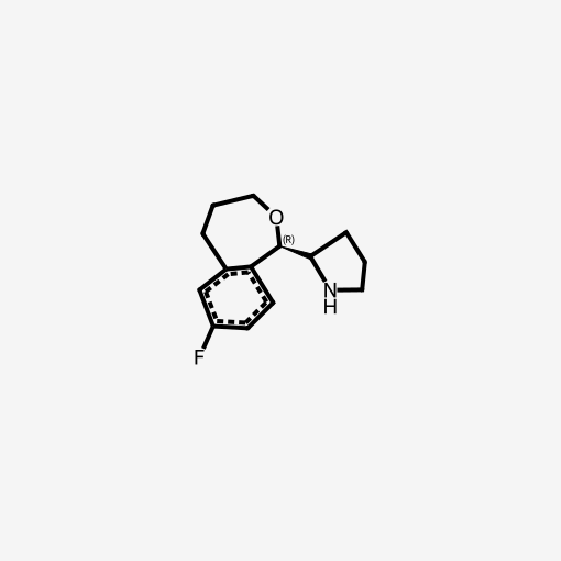 Fc1ccc2c(c1)CCCO[C@H]2C1CCCN1